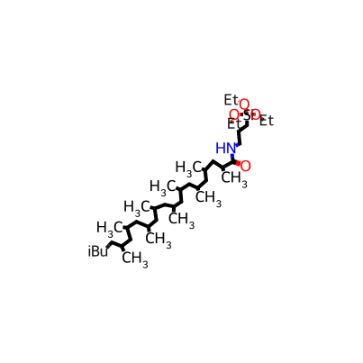 CCO[Si](CCCNC(=O)C(C)CC(C)CC(C)CC(C)CC(C)CC(C)CC(C)CC(C)CC(C)CC(C)CC)(OCC)OCC